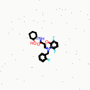 O=C(N[C@H]1CCCC[C@@H]1O)C1=CN(Cc2ccccc2F)c2c(F)ccc(F)c2O1